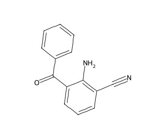 N#Cc1cccc(C(=O)c2ccccc2)c1N